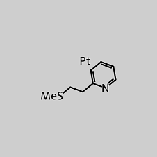 CSCCc1ccccn1.[Pt]